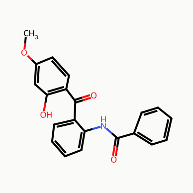 COc1ccc(C(=O)c2ccccc2NC(=O)c2ccccc2)c(O)c1